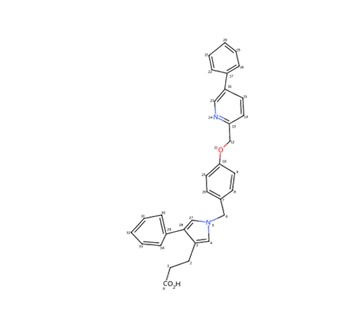 O=C(O)CCc1cn(Cc2ccc(OCc3ccc(-c4ccccc4)cn3)cc2)cc1-c1ccccc1